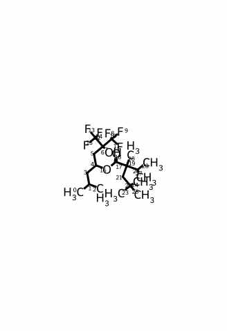 CC(C)CC(CC(O)(C(F)(F)F)C(F)(F)F)OC(=O)C(C)(CC(C)(C)C)C(C)C